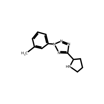 Cc1cccc(-n2nnc(C3CCCN3)n2)c1